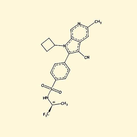 Cc1cc2c(C#N)c(-c3ccc(S(=O)(=O)N[C@@H](C)C(F)(F)F)cc3)n(C3CCC3)c2cn1